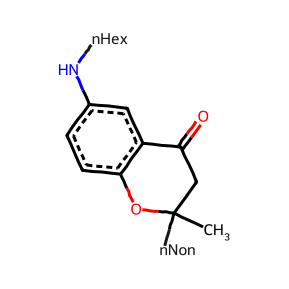 CCCCCCCCCC1(C)CC(=O)c2cc(NCCCCCC)ccc2O1